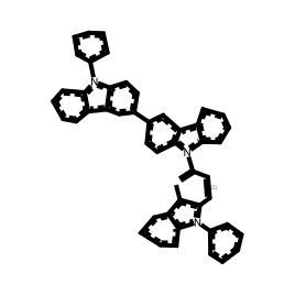 C=C(/C=C\c1c(C)c2ccccc2n1-c1ccccc1)n1c2ccccc2c2cc(-c3ccc4c(c3)c3ccccc3n4-c3ccccc3)ccc21